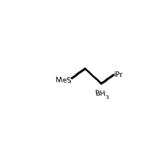 B.CSCCC(C)C